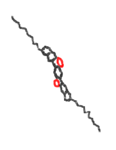 CCCCCCCCCCc1ccc2cc3oc4cc5c(cc4c3cc2c1)oc1cc2ccc(CCCCCCCCCC)cc2cc15